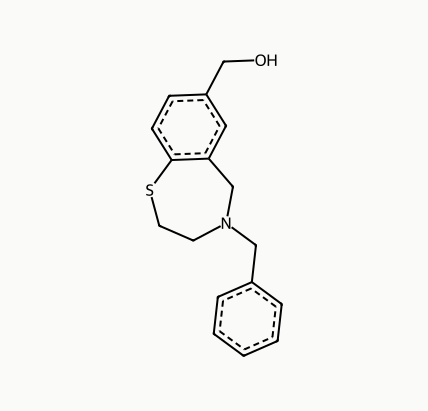 OCc1ccc2c(c1)CN(Cc1ccccc1)CCS2